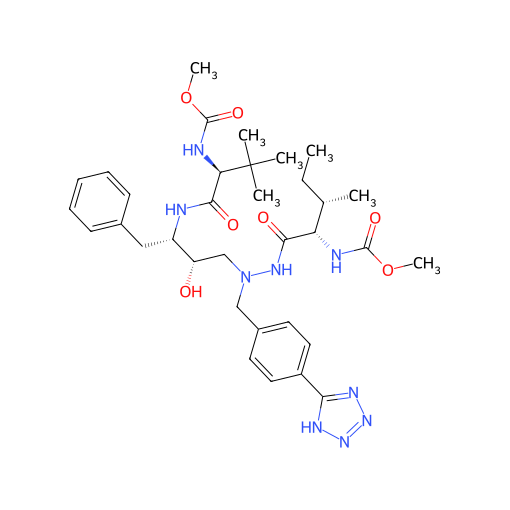 CC[C@H](C)[C@H](NC(=O)OC)C(=O)NN(Cc1ccc(-c2nnn[nH]2)cc1)C[C@H](O)[C@H](Cc1ccccc1)NC(=O)[C@@H](NC(=O)OC)C(C)(C)C